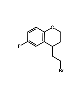 Fc1ccc2c(c1)C(CCBr)CCO2